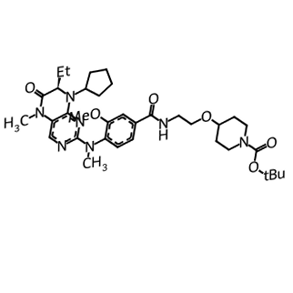 CC[C@@H]1C(=O)N(C)c2cnc(N(C)c3ccc(C(=O)NCCOC4CCN(C(=O)OC(C)(C)C)CC4)cc3OC)nc2N1C1CCCC1